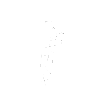 CCC(C)(CC(C)(S)C(=O)[SH](#P)NNC(=O)OC(C)(C)C)C(=O)NCC(C)O